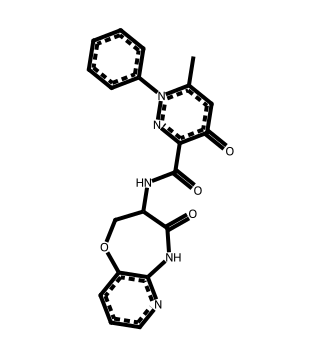 Cc1cc(=O)c(C(=O)NC2COc3cccnc3NC2=O)nn1-c1ccccc1